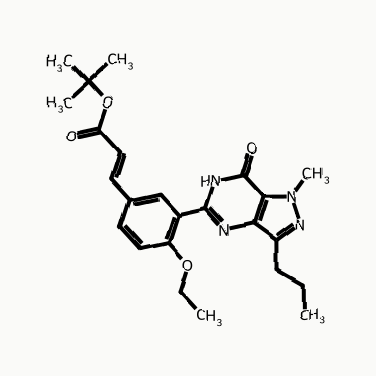 CCCc1nn(C)c2c(=O)[nH]c(-c3cc(C=CC(=O)OC(C)(C)C)ccc3OCC)nc12